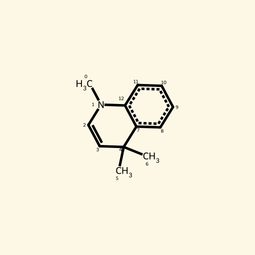 CN1C=CC(C)(C)c2ccccc21